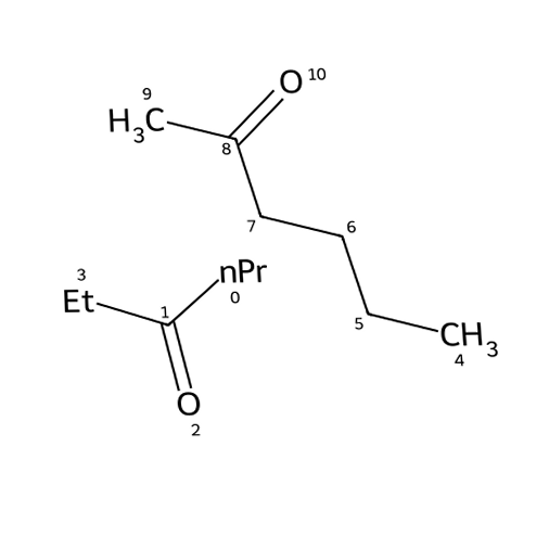 CCCC(=O)CC.CCCCC(C)=O